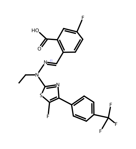 CCN(/N=C/c1ccc(F)cc1C(=O)O)c1nc(-c2ccc(C(F)(F)F)cc2)c(F)s1